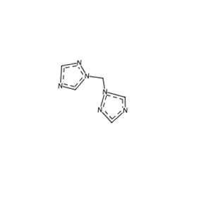 c1ncn(Cn2cncn2)n1